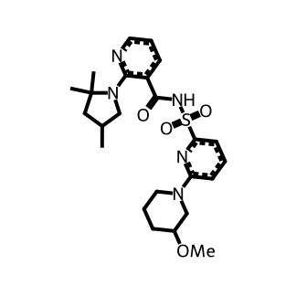 COC1CCCN(c2cccc(S(=O)(=O)NC(=O)c3cccnc3N3CC(C)CC3(C)C)n2)C1